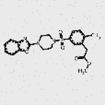 COC(=O)Cc1cc(S(=O)(=O)N2CCN(c3nc4ccccc4o3)CC2)ccc1C